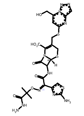 CC(C)(O/N=C(\C(=O)NC1C(=O)N2C(C(=O)O)=C(CSc3cc(CO)n4nncc4n3)CS[C@H]12)c1csc(N)n1)C(=O)NN